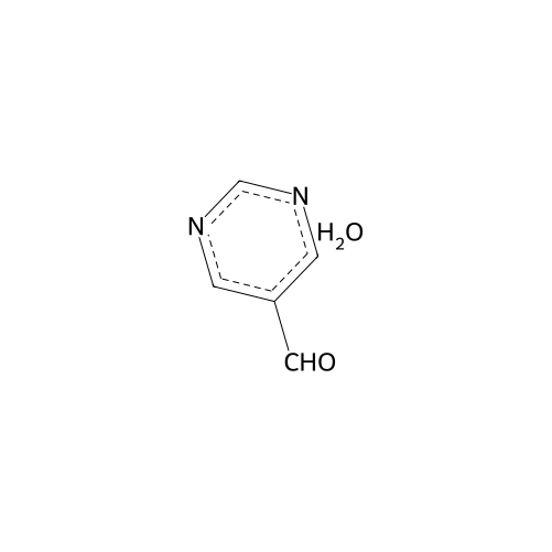 O.O=Cc1cncnc1